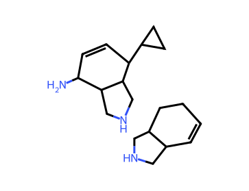 C1=CC2CNCC2CC1.NC1C=CC(C2CC2)C2CNCC12